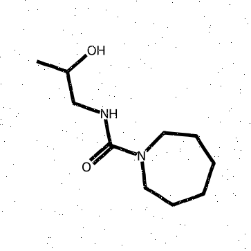 CC(O)CNC(=O)N1CCCCCC1